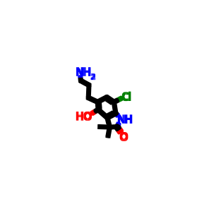 CC1(C)C(=O)Nc2c(Cl)cc(CCCN)c(O)c21